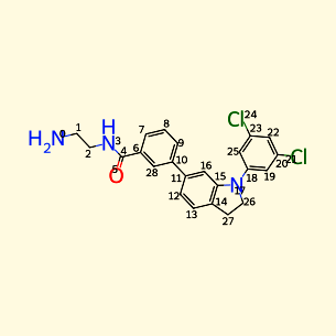 NCCNC(=O)c1cccc(-c2ccc3c(c2)N(c2cc(Cl)cc(Cl)c2)CC3)c1